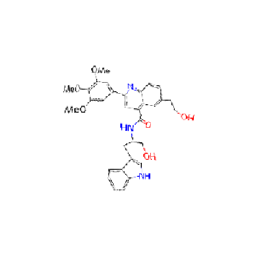 COc1cc(-c2cc(C(=O)N[C@@H](CO)Cc3c[nH]c4ccccc34)c3cc(CCO)ccc3n2)cc(OC)c1OC